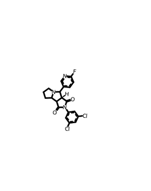 O=C1C2C3CCCN3C(c3ccc(F)nc3)[C@@H]2C(=O)N1c1cc(Cl)cc(Cl)c1